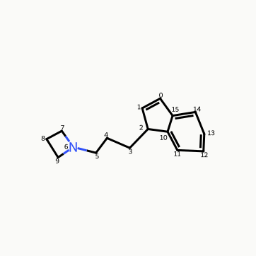 C1=CC(CCCN2CCC2)c2ccccc21